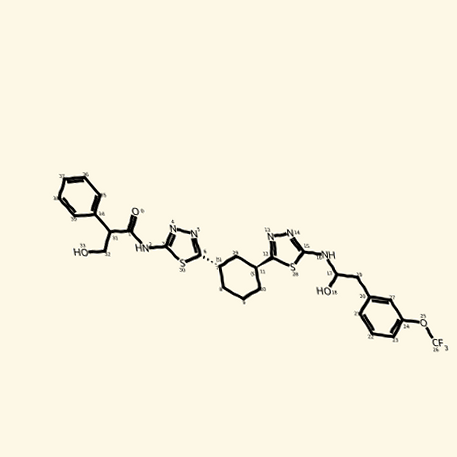 O=C(Nc1nnc([C@H]2CCC[C@H](c3nnc(NC(O)Cc4cccc(OC(F)(F)F)c4)s3)C2)s1)C(CO)c1ccccc1